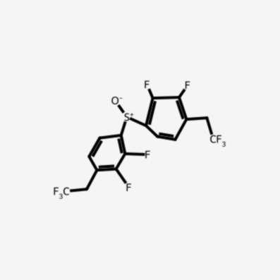 [O-][S+](c1ccc(CC(F)(F)F)c(F)c1F)c1ccc(CC(F)(F)F)c(F)c1F